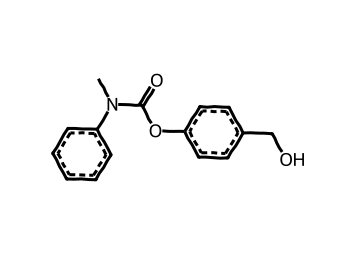 CN(C(=O)Oc1ccc(CO)cc1)c1ccccc1